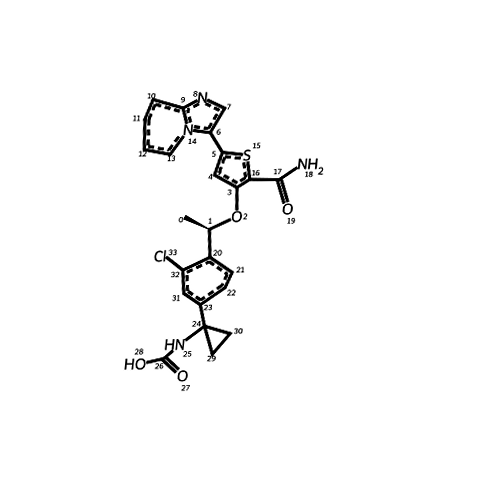 C[C@@H](Oc1cc(-c2cnc3ccccn23)sc1C(N)=O)c1ccc(C2(NC(=O)O)CC2)cc1Cl